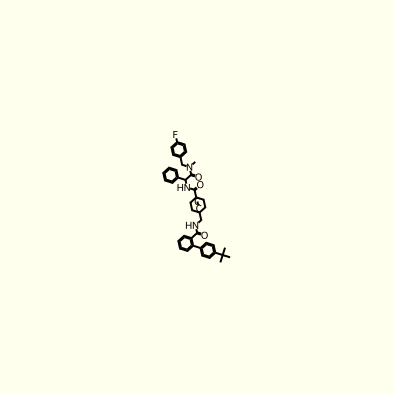 CN(Cc1ccc(F)cc1)C(=O)C(NC(=O)C12CCC(CNC(=O)c3ccccc3-c3ccc(C(C)(C)C)cc3)(CC1)CC2)c1ccccc1